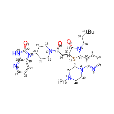 CC(C)N1CCN(c2ncccc2C2S[C@@H](CC(=O)N3CCC(n4c(=O)[nH]c5ncccc54)CC3)C(=O)N2CCC(C)(C)C)CC1